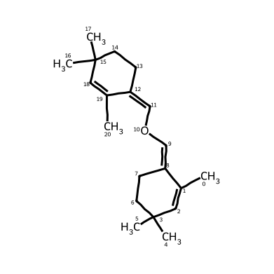 CC1=CC(C)(C)CCC1=COC=C1CCC(C)(C)C=C1C